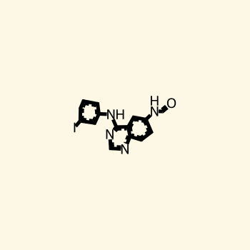 O=CNc1ccc2ncnc(Nc3cccc(I)c3)c2c1